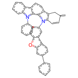 C=C1C=Cc2c(c3ccc4c5ccccc5n(-c5ccccc5)c4c3n2-c2ccc3oc4cc(-c5ccccc5)ccc4c3c2)C1